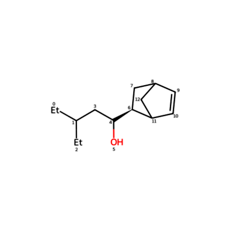 CCC(CC)CC(O)[C@H]1CC2C=CC1C2